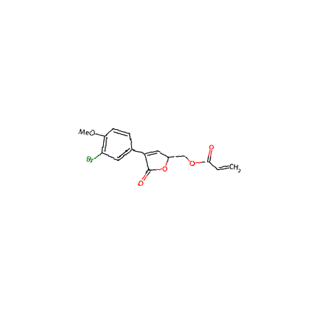 C=CC(=O)OCC1C=C(c2ccc(OC)c(Br)c2)C(=O)O1